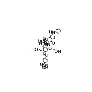 NN(/N=C1/C(=O)c2ccc(Nc3ccccc3)cc2C=C1S(=O)(=O)O)c1cc(CCO)c(/N=N/c2ccc(S(=O)(=O)O)cc2)cc1OCCO